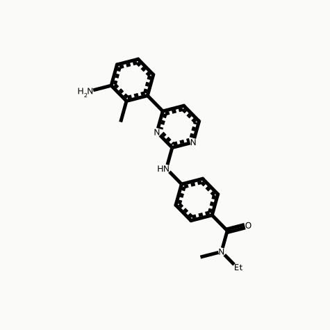 CCN(C)C(=O)c1ccc(Nc2nccc(-c3cccc(N)c3C)n2)cc1